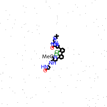 COc1nc(-c2cccc(-c3cccc(-c4cc5c(=O)n(C)c(CN6CC(C)(C)C6)nn5c4)c3Cl)c2Cl)ccc1CNC[C@@H]1CCC(=O)N1